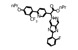 CCCOC(=O)C(c1ccc(-c2ccc(OCCC)cc2C(F)(F)F)nc1)n1cc2nc(-c3ccccc3F)nc-2cn1